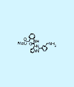 COC(=O)Cc1ccccc1NC(=O)c1nc(-c2cccc(CN)c2)nn2cccc12